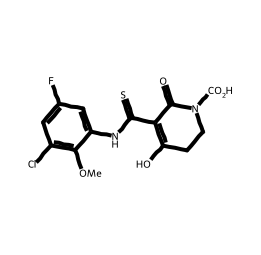 COc1c(Cl)cc(F)cc1NC(=S)C1=C(O)CCN(C(=O)O)C1=O